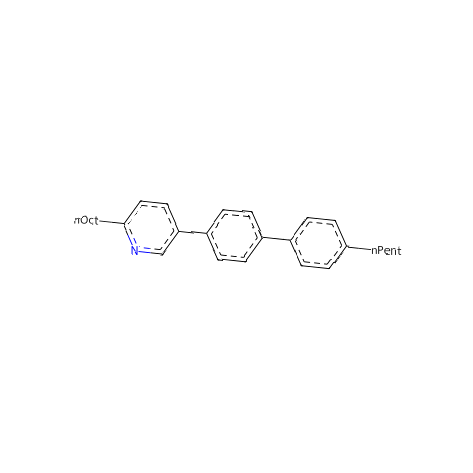 CCCCCCCCc1ccc(-c2ccc(-c3ccc(CCCCC)cc3)cc2)cn1